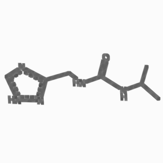 CC(C)NC(=O)NCc1nc[nH]n1